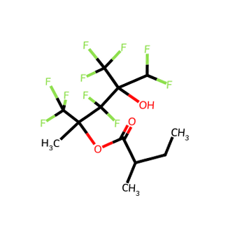 CCC(C)C(=O)OC(C)(C(F)(F)F)C(F)(F)C(O)(C(F)F)C(F)(F)F